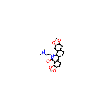 CN(C)CCn1c(=O)c2c3c(ccc2c2ccc4cc5c(cc4c21)OCO5)OCO3